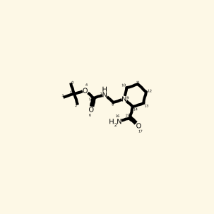 CC(C)(C)OC(=O)NCN1CCCCC1C(N)=O